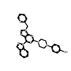 Oc1ccc(N2CCN(c3nc(-n4ncc5ccccc54)c4ncn(Cc5ccccn5)c4n3)CC2)cc1